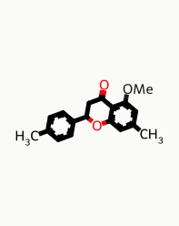 COc1cc(C)cc2c1C(=O)CC(c1ccc(C)cc1)O2